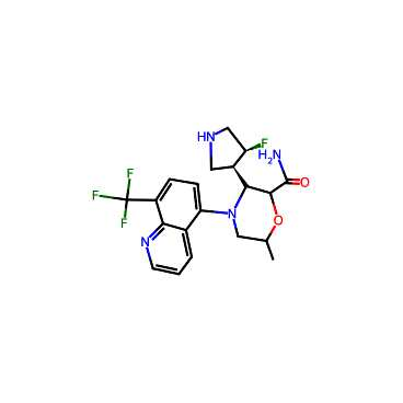 CC1CN(c2ccc(C(F)(F)F)c3ncccc23)C([C@H]2CNC[C@H]2F)C(C(N)=O)O1